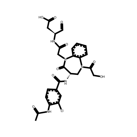 CC(=O)Nc1ccc(C(=O)N[C@H]2CN(C(=O)CO)c3ccccc3N(CC(=O)N[C@H](C=O)CC(=O)O)C2=O)cc1Cl